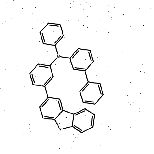 c1ccc(-c2cccc(N(c3ccccc3)c3cccc(-c4ccc5sc6ccccc6c5c4)c3)c2)cc1